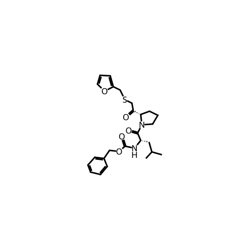 CC(C)C[C@H](NC(=O)OCc1ccccc1)C(=O)N1CCC[C@H]1C(=O)CSCc1ccco1